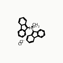 [CH2]=[Hf+2]([C]1=C2C=CC=CC2c2ccccc21)[C]1=C2C=CC=CC2c2ccccc21.[Cl-].[Cl-]